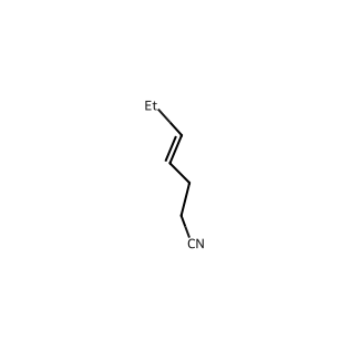 CCC=CCCC#N